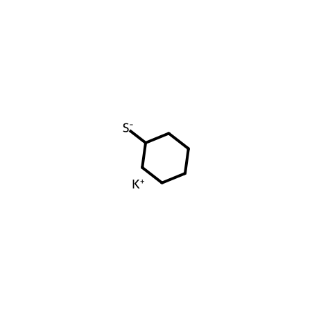 [K+].[S-]C1CCCCC1